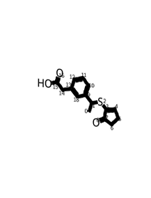 CC(SC1=CCCC1=O)c1cccc(CC(=O)O)c1